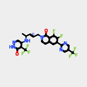 CC(/C=C/Cn1ccc2cc(-c3ncc(C(F)(F)F)cn3)c(F)c(F)c2c1=O)Nc1cn[nH]c(=O)c1C(F)(F)F